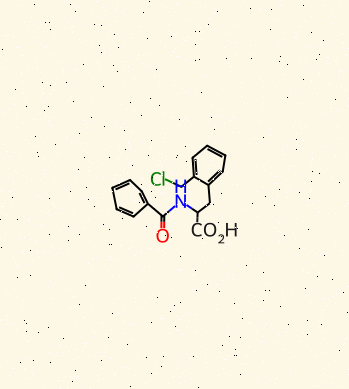 O=C(NC(Cc1ccccc1CCl)C(=O)O)c1ccccc1